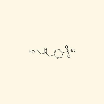 CCS(=O)(=O)c1ccc(CNCCO)cc1